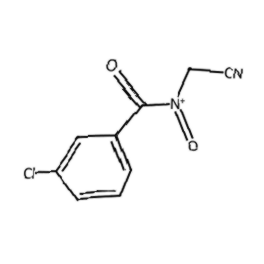 N#CC[N+](=O)C(=O)c1cccc(Cl)c1